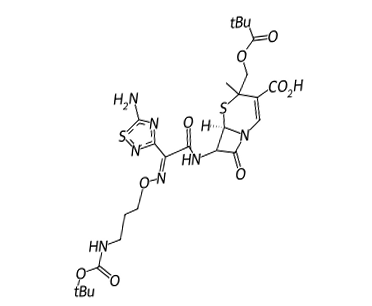 CC(C)(C)OC(=O)NCCCON=C(C(=O)NC1C(=O)N2C=C(C(=O)O)C(C)(COC(=O)C(C)(C)C)S[C@H]12)c1nsc(N)n1